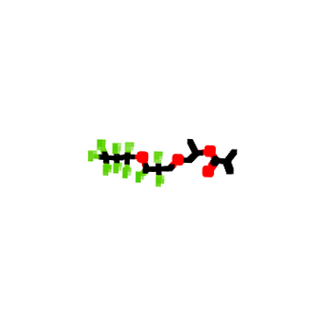 C=C(C)C(=O)OC(C)COCC(F)(F)C(F)OC(F)(F)C(F)(F)C(F)(F)F